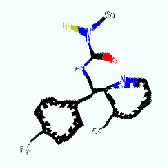 CC(C)(C)N(S)C(=O)NC(c1ccc(C(F)(F)F)cc1)c1ncccc1C(F)(F)F